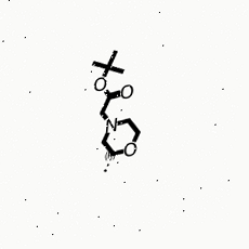 C[C@@H]1CN(CC(=O)OC(C)(C)C)CCO1